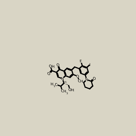 COc1cc2c(cc1Cc1cc(N3CCCCC3=O)cc(I)c1F)c(=O)c(C(=O)O)cn2[C@H](CO)C(C)C